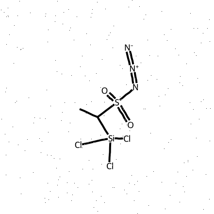 CC([Si](Cl)(Cl)Cl)S(=O)(=O)N=[N+]=[N-]